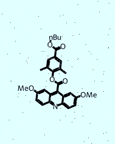 CCCCOC(=O)c1cc(C)c(OC(=O)c2c3cc(OC)ccc3nc3ccc(OC)cc23)c(C)c1